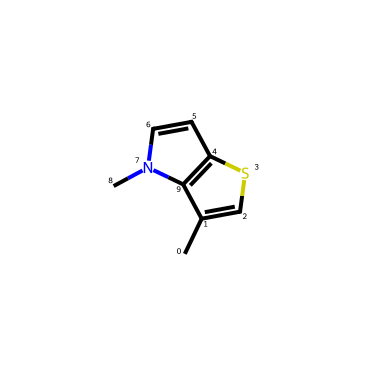 Cc1csc2ccn(C)c12